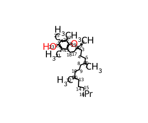 C#C[C@@]1(CCC[C@H](C)CCC[C@H](C)CCCC(C)C)CCc2c(C)c(O)c(C)c(C)c2O1